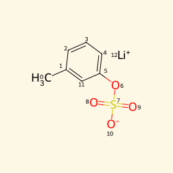 Cc1cccc(OS(=O)(=O)[O-])c1.[Li+]